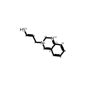 SC=CCN1C=c2ccccc2=NC1